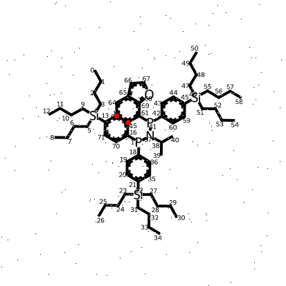 CCCC[Si](CCCC)(CCCC)c1ccc(P(c2ccc([Si](CCCC)(CCCC)CCCC)cc2)N(C(C)C)P(c2ccc([Si](CCCC)(CCCC)CCCC)cc2)c2cccc3ccoc23)cc1